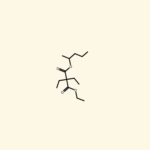 CCCC(C)OC(=O)C(CC)(CC)C(=O)OCC